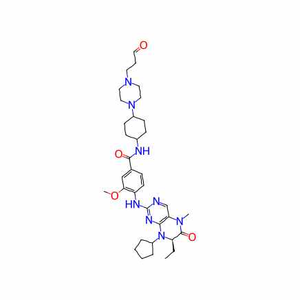 CC[C@@H]1C(=O)N(C)c2cnc(Nc3ccc(C(=O)NC4CCC(N5CCN(CCC=O)CC5)CC4)cc3OC)nc2N1C1CCCC1